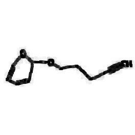 C#CCCCOC1C=CC=CO1